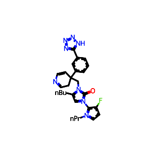 CCCCc1cn(-c2c(F)ccn2CCC)c(=O)n1CC1(c2cccc(-c3nnn[nH]3)c2)C=CN=CC1